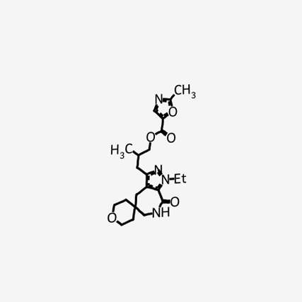 CCn1nc(CC(C)COC(=O)c2cnc(C)o2)c2c1C(=O)NCC1(CCOCC1)C2